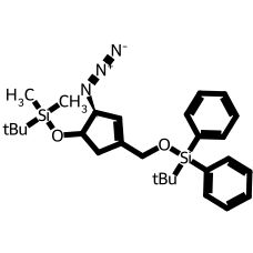 CC(C)(C)[Si](C)(C)OC1CC(CO[Si](c2ccccc2)(c2ccccc2)C(C)(C)C)=C[C@@H]1N=[N+]=[N-]